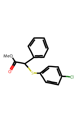 COC(=O)C(Sc1ccc(Cl)cc1)c1ccccc1